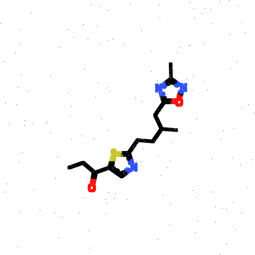 CCC(=O)c1cnc(CCC(C)Cc2nc(C)no2)s1